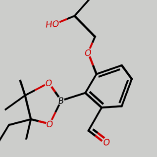 CCC1(C)OB(c2c(C=O)cccc2OCC(C)O)OC1(C)C